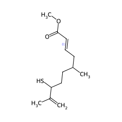 C=C(C)C(S)CCC(C)C/C=C/C(=O)OC